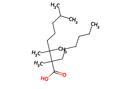 CCCCCCC(C)(C(=O)O)C(C)(C)CCCC(C)C